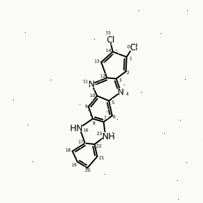 Clc1cc2nc3cc4c(cc3nc2cc1Cl)Nc1ccccc1N4